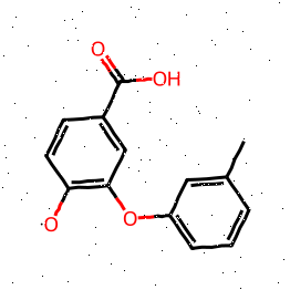 Cc1cccc(Oc2cc(C(=O)O)ccc2[O])c1